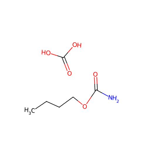 CCCCOC(N)=O.O=C(O)O